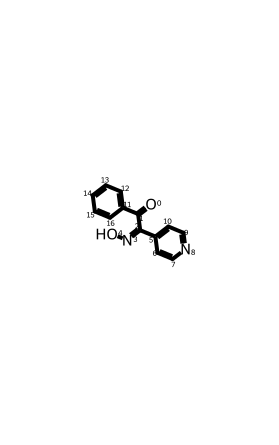 O=C(C(=NO)c1ccncc1)c1ccccc1